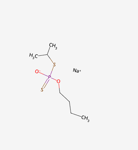 CCCCOP([O-])(=S)SC(C)C.[Na+]